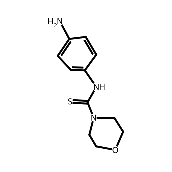 Nc1ccc(NC(=S)N2CCOCC2)cc1